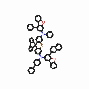 c1ccc(-c2ccc(N(c3ccc4c(c3)Sc3cc(N(c5ccccc5)c5cc(-c6ccccc6)c6c(c5)oc5ccccc56)ccc3C43c4ccccc4-c4ccccc43)c3cc(-c4ccc5ccccc5c4)c4oc5ccccc5c4c3)cc2)cc1